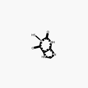 O=c1[nH]c2nc[nH]c2c(=O)n1S